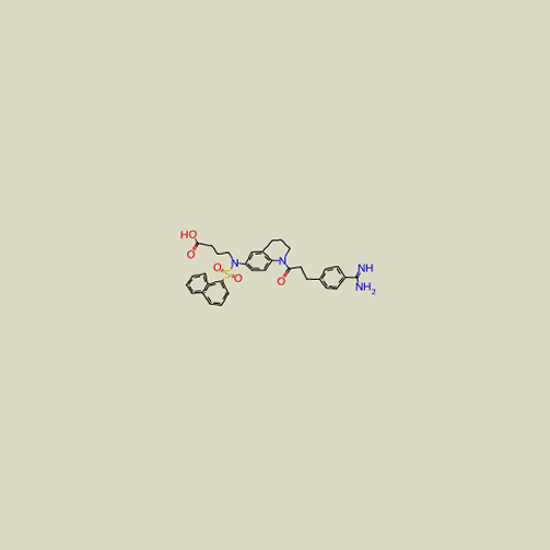 N=C(N)c1ccc(CCC(=O)N2CCCc3cc(N(CCCC(=O)O)S(=O)(=O)c4cccc5ccccc45)ccc32)cc1